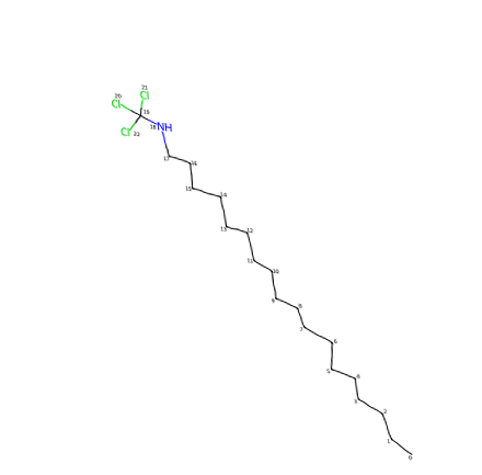 CCCCCCCCCCCCCCCCCCNC(Cl)(Cl)Cl